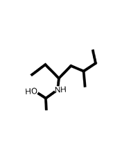 CCC(C)CC(CC)NC(C)O